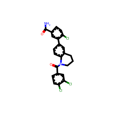 NC(=O)c1ccc(Cl)c(-c2ccc3c(c2)CCCN3C(=O)c2ccc(Cl)c(Cl)c2)c1